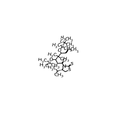 C/C=C/C(O[Si](C)(C)C(C)(C)C)C(C)(C)C(CC(=O)N1C(=S)SC[C@H]1C(C)C)O[Si](C)(C)C